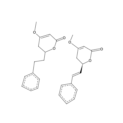 COC1=CC(=O)OC(CCc2ccccc2)C1.COC1=CC(=O)O[C@@H](/C=C/c2ccccc2)C1